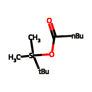 CCCCC(=O)O[Si](C)(C)C(C)(C)C